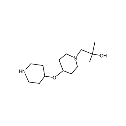 CC(C)(O)CN1CCC(OC2CCNCC2)CC1